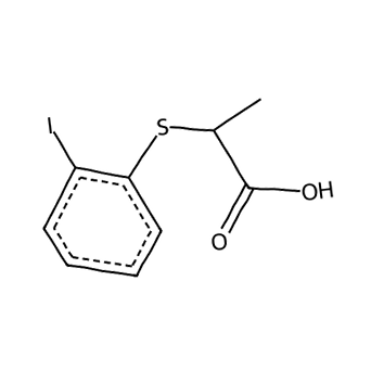 CC(Sc1ccccc1I)C(=O)O